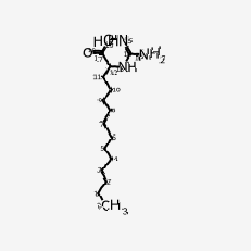 CCCCCCCCCCCCC(NC(=N)N)C(=O)O